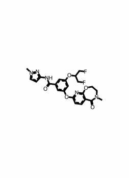 CN1CCOc2nc(Oc3cc(OC(CF)CF)cc(C(=O)Nc4ccn(C)n4)c3)ccc2C1=O